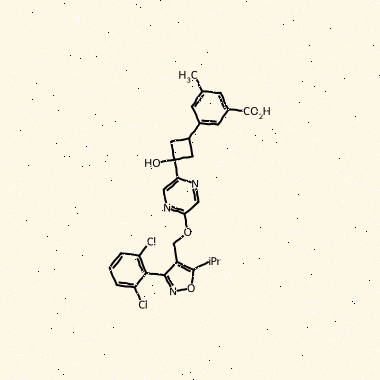 Cc1cc(C(=O)O)cc(C2CC(O)(c3cnc(OCc4c(-c5c(Cl)cccc5Cl)noc4C(C)C)cn3)C2)c1